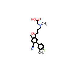 Cc1cc(-c2cc3c(cc2C#N)COC3CCCN(C)CC(=O)O)ccc1F